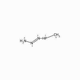 CPN=NN